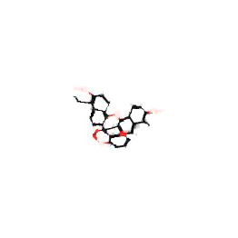 CCc1c(O)ccc2c3c(ccc12)C1(c2ccccc2Oc2ccccc21)c1ccc2c(C)c(O)ccc2c1O3